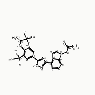 C[C@@H](Oc1ccc(-c2nc(-c3cccc4c3ccn4CC(N)=O)no2)cc1C(F)(F)F)C(F)(F)F